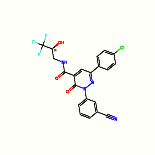 N#Cc1cccc(-n2nc(-c3ccc(Cl)cc3)cc(C(=O)NC[C@H](O)C(F)(F)F)c2=O)c1